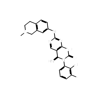 CN1CCc2ccc(Nc3ncc4c(=N)n(-c5cccc(F)c5Cl)c(=O)[nH]c4n3)cc2C1